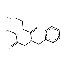 C=C(CN(Cc1ccccc1)C(=O)CCC(=O)OCC)OCC